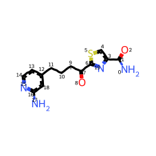 NC(=O)c1csc(C(=O)[CH]CCc2ccnc(N)c2)n1